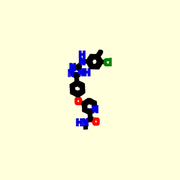 CNC(=O)c1cc(Oc2ccc(-c3nnc(Nc4ccc(Cl)c(C)c4)[nH]3)cc2)ccn1